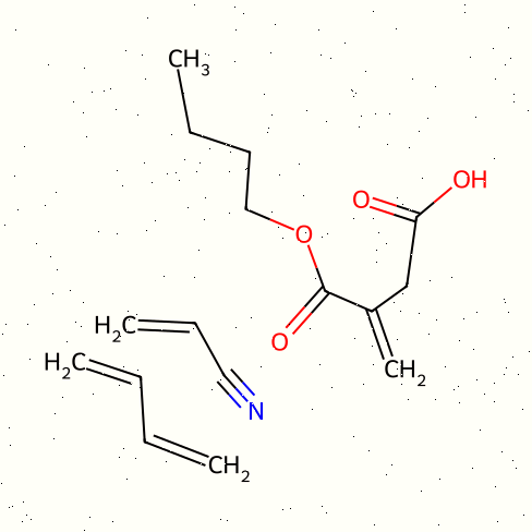 C=C(CC(=O)O)C(=O)OCCCC.C=CC#N.C=CC=C